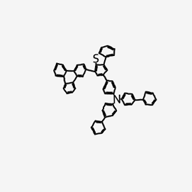 c1ccc(-c2ccc(N(c3ccc(-c4ccccc4)cc3)c3ccc(-c4cc(-c5ccc6c7ccccc7c7ccccc7c6c5)c5sc6ccccc6c5c4)cc3)cc2)cc1